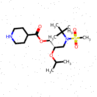 CC(C)O[C@H](COC(=O)C1CCNCC1)CN(C(C)(C)C)S(C)(=O)=O